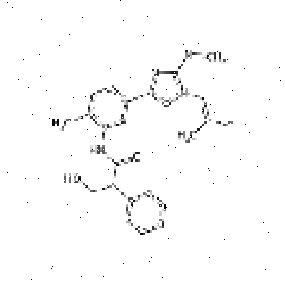 C=Nc1nc(-c2ccc(C)c(NC(=O)C(CO)c3ccccc3)c2)cn1/C=C(\C)F